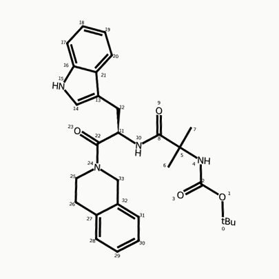 CC(C)(C)OC(=O)NC(C)(C)C(=O)N[C@H](Cc1c[nH]c2ccccc12)C(=O)N1CCc2ccccc2C1